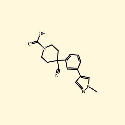 Cn1cc(-c2cccc(C3(C#N)CCN(C(=O)O)CC3)c2)cn1